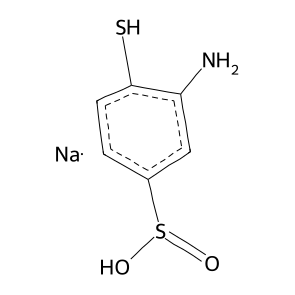 Nc1cc(S(=O)O)ccc1S.[Na]